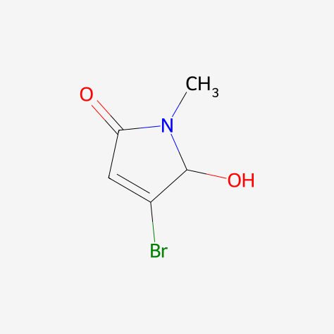 CN1C(=O)C=C(Br)C1O